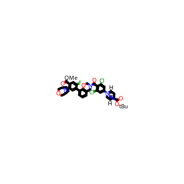 COC(=O)c1cc(F)c(-c2cccc3c2OCN(C(=O)c2c(Cl)cc(N4C[C@H]5CC[C@@H]4CN5C(=O)OC(C)(C)C)cc2Cl)C3)cc1N1C2CCC1COC2